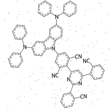 N#Cc1ccccc1-c1cc(-c2c(C#N)cc(-n3c4ccc(N(c5ccccc5)c5ccccc5)cc4c4cc(N(c5ccccc5)c5ccccc5)ccc43)cc2C#N)nc(-c2ccccc2C#N)n1